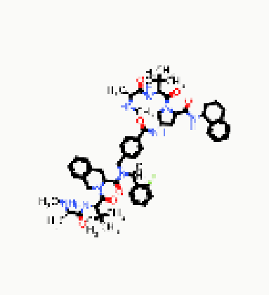 CN[C@@H](C)C(=O)N[C@H](C(=O)N1C[C@@H](NC(=O)c2ccc(CN(C(=O)[C@@H]3Cc4ccccc4CN3C(=O)[C@@H](NC(=O)[C@H](C)NC)C(C)(C)C)C(C)c3ccccc3F)cc2)CC1C(=O)N[C@@H]1CCCc2ccccc21)C(C)(C)C